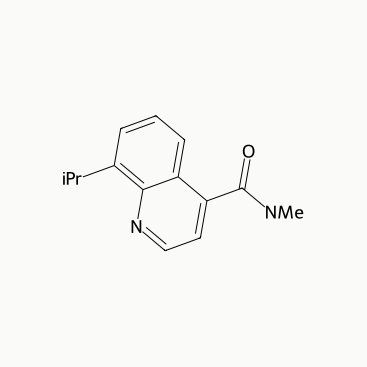 CNC(=O)c1ccnc2c(C(C)C)cccc12